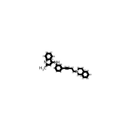 Cc1cc(Nc2cccc(C#CCCN3CCc4ccccc4C3)c2)c2ccccc2n1